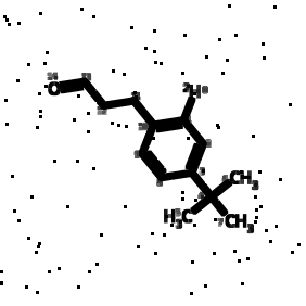 [2H]c1cc(C(C)(C)C)ccc1CCC=O